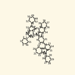 c1ccc(-c2nc(-n3c4ccc(-c5cccc6c5c5ccccc5n6-c5ccccc5)cc4c4cc5ccccc5cc43)c3sc(-c4ccccc4)cc3n2)cc1